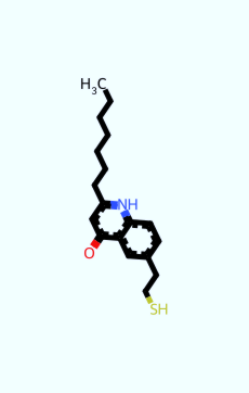 CCCCCCCc1cc(=O)c2cc(CCS)ccc2[nH]1